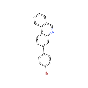 Brc1ccc(-c2ccc3c(c2)ncc2ccccc23)cc1